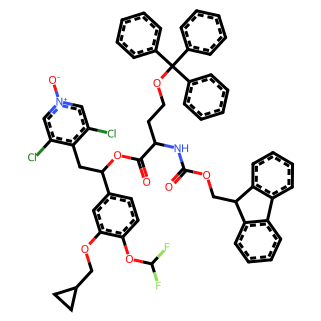 O=C(NC(CCOC(c1ccccc1)(c1ccccc1)c1ccccc1)C(=O)OC(Cc1c(Cl)c[n+]([O-])cc1Cl)c1ccc(OC(F)F)c(OCC2CC2)c1)OCC1c2ccccc2-c2ccccc21